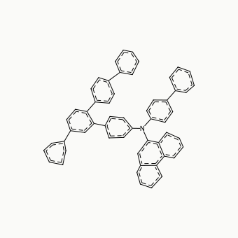 c1ccc(-c2ccc(-c3ccc(-c4ccccc4)cc3-c3ccc(N(c4ccc(-c5ccccc5)cc4)c4cc5ccccc5c5ccccc45)cc3)cc2)cc1